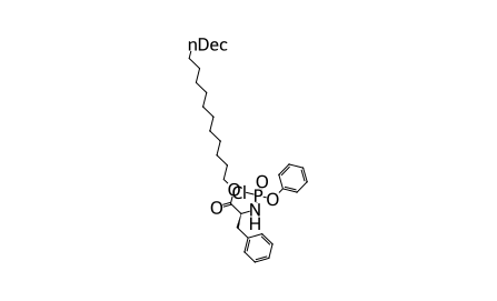 CCCCCCCCCCCCCCCCCCCCCOC(=O)[C@H](Cc1ccccc1)NP(=O)(Cl)Oc1ccccc1